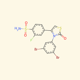 NS(=O)(=O)c1ccc(-c2csc(=O)n2-c2cc(Br)cc(Br)c2)cc1F